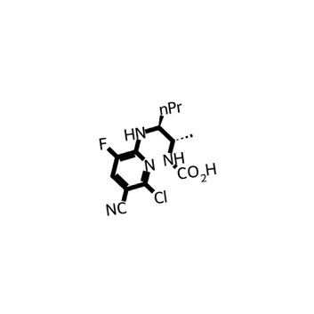 CCC[C@H](Nc1nc(Cl)c(C#N)cc1F)[C@H](C)NC(=O)O